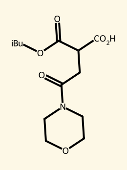 CCC(C)OC(=O)C(CC(=O)N1CCOCC1)C(=O)O